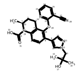 C[C@H]1CCc2c(ccc(-c3cnn(CC(C)(C)O)c3)c2Oc2ncccc2C#N)N1C(=O)O